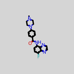 CN1CCN(c2ccc(C(=O)Nc3ccc(F)c4nccnc34)cc2)CC1